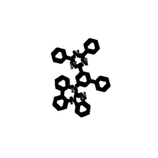 c1ccc(-c2cc(-c3nc(-c4ccccc4)nc(-c4ccccc4)n3)cc(N3c4ccccc4-c4ccccc4-n4c3nc3ccccc34)c2)cc1